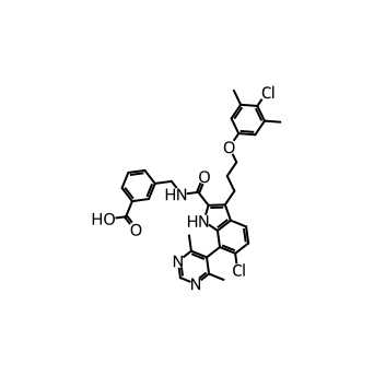 Cc1cc(OCCCc2c(C(=O)NCc3cccc(C(=O)O)c3)[nH]c3c(-c4c(C)ncnc4C)c(Cl)ccc23)cc(C)c1Cl